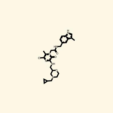 Cc1c[nH]c2ccc(CNC(=O)Cn3c(C)c(Cl)nc(NCC4CN(CC5CC5)CCO4)c3=O)cc12